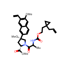 C=CCC1(CCOC(=O)NC(C(=O)N2C[C@](OC)(c3ccc4cc(OC)c(C=C)cc4c3)C[C@H]2C(=O)OC)C(C)(C)C)CC1